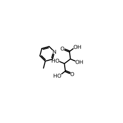 Cc1cccnc1.O=C(O)C(O)C(O)C(=O)O